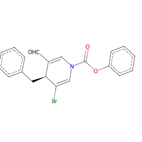 O=CC1=CN(C(=O)Oc2ccccc2)C=C(Br)[C@H]1Cc1ccccc1